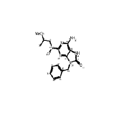 COC(C)C[S+]([O-])c1nc(N)c2[nH]c(=O)n(Cc3ccccc3)c2n1